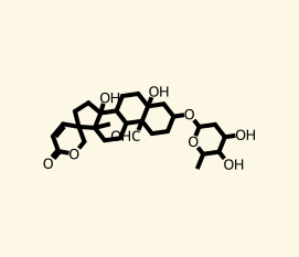 CC1OC(OC2CCC3(C=O)C4CCC5(C)C6(C=CC(=O)OC6)CCC5(O)C4CCC3(O)C2)CC(O)C1O